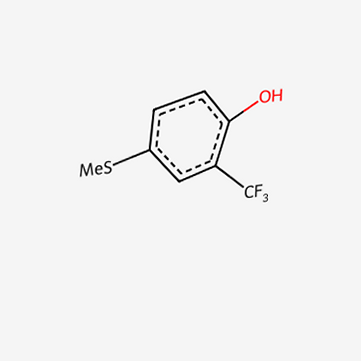 CSc1ccc(O)c(C(F)(F)F)c1